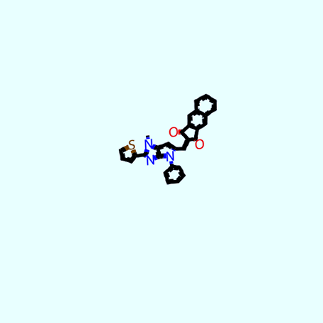 Cn1c(-c2cccs2)nc2c1cc(C=C1C(=O)c3cc4ccccc4cc3C1=O)n2-c1ccccc1